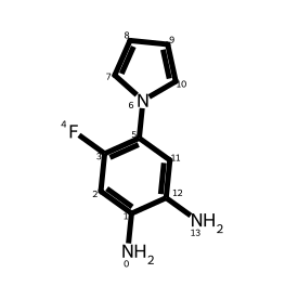 Nc1cc(F)c(-n2cccc2)cc1N